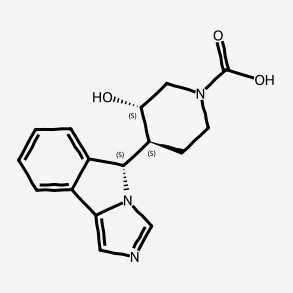 O=C(O)N1CC[C@@H]([C@H]2c3ccccc3-c3cncn32)[C@H](O)C1